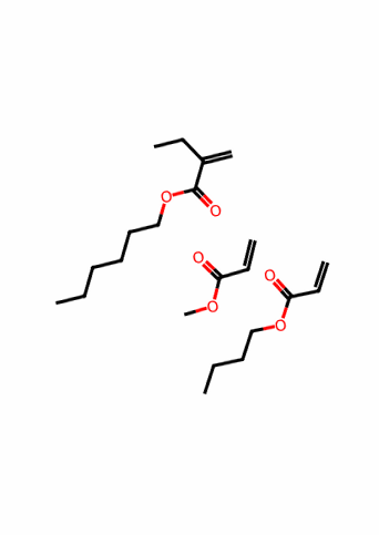 C=C(CC)C(=O)OCCCCCC.C=CC(=O)OC.C=CC(=O)OCCCC